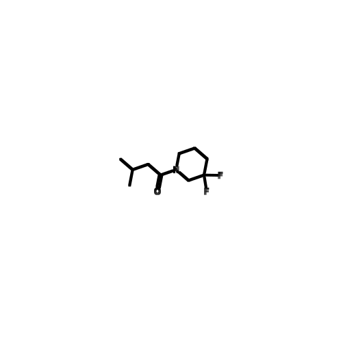 CC(C)CC(=O)N1CCCC(F)(F)C1